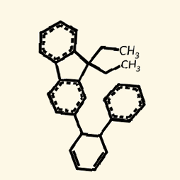 CCC1(CC)c2ccccc2-c2ccc(C3C=CC=CC3c3ccccc3)cc21